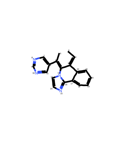 C/C=c1\c(=C(/C)c2cncnc2)n2ccnc2c2ccccc12